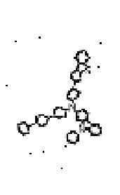 c1ccc(-c2ccc(-c3ccc(N(c4ccc(-c5ccc6c(c5)sc5ccccc56)cc4)c4ccc5c6ccccc6n(-c6ccccc6)c5c4)cc3)cc2)cc1